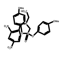 COc1ccc(OP(=O)(CN(CC(=O)O)Sc2ccc([N+](=O)[O-])cc2[N+](=O)[O-])Oc2ccc(OC)cc2)cc1